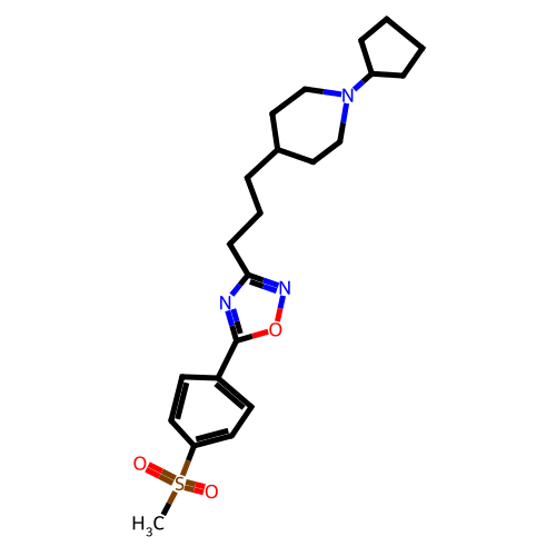 CS(=O)(=O)c1ccc(-c2nc(CCCC3CCN(C4CCCC4)CC3)no2)cc1